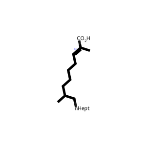 CCCCCCCCC(C)CCCC/C=C(\C)C(=O)O